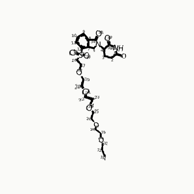 O=C1CCC(N2Cc3c(cccc3S(=O)(=O)CCOCCOCCOCCOCCOCCI)C2=O)C(=O)N1